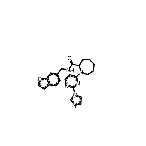 O=C(NCc1ccc2ccoc2c1)C1CCCCCN1c1ccnc(-n2ccnc2)n1